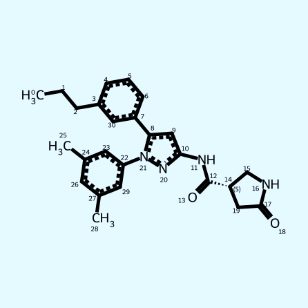 CCCc1cccc(-c2cc(NC(=O)[C@@H]3CNC(=O)C3)nn2-c2cc(C)cc(C)c2)c1